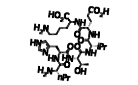 CCC[C@H](N)C(=O)N[C@@H](Cc1c[nH]cn1)C(=O)N[C@H](C(=O)N[C@H](C(=O)N[C@@H](CCC(=O)O)C(=O)N[C@@H](CCCCN)C(=O)O)C(C)C)[C@@H](C)O